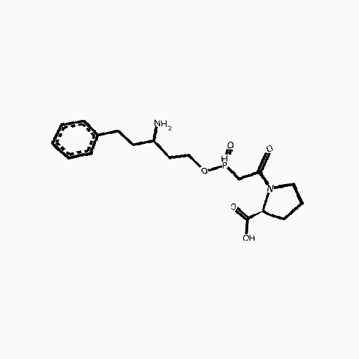 NC(CCO[PH](=O)CC(=O)N1CCC[C@H]1C(=O)O)CCc1ccccc1